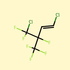 FC(F)(F)C(F)(C=CCl)C(F)(F)Cl